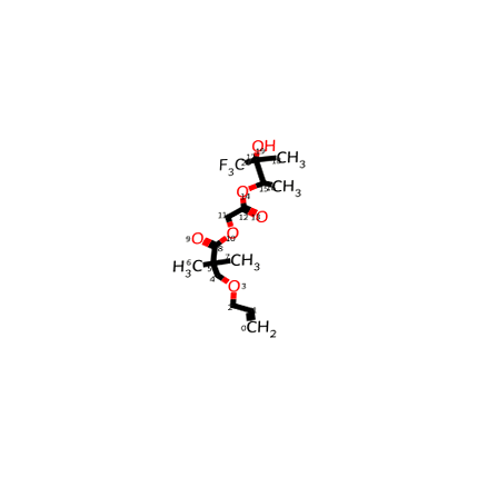 C=CCOCC(C)(C)C(=O)OCC(=O)OC(C)C(C)(O)C(F)(F)F